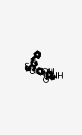 O=C(C1CCN(Cc2ccccc2)CC1c1cccs1)N1CCC(O)(Cn2cnc3[nH]ccc3c2=O)CC1